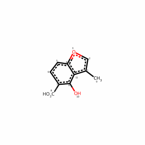 Cc1coc2ccc(C(=O)O)c(O)c12